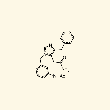 CC(=O)Nc1cccc(Cn2cnc(Cc3ccccc3)c2CC(N)=O)c1